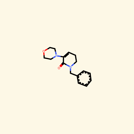 O=C1C(N2CCOCC2)=CCCN1Cc1ccccc1